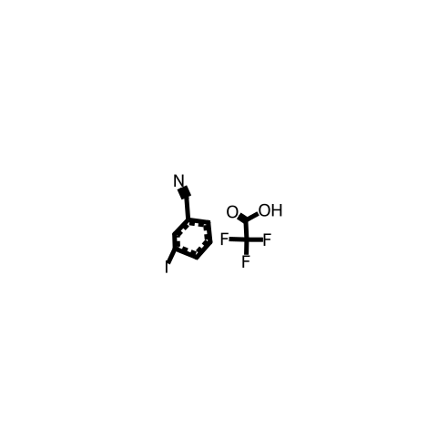 N#Cc1cccc(I)c1.O=C(O)C(F)(F)F